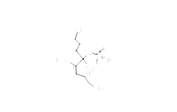 CCCCC(C)C(C)(CCCC)OP(=O)(O)O